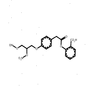 O=NOCC(COc1ccc(CC(=O)Oc2ccccc2C(=O)O)cc1)O[N+](=O)[O-]